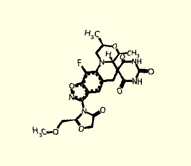 COC[C@@H]1OCC(=O)N1c1noc2c(F)c3c(cc12)CC1(C(=O)NC(=O)NC1=O)[C@H]1[C@H](C)O[C@H](C)CN31